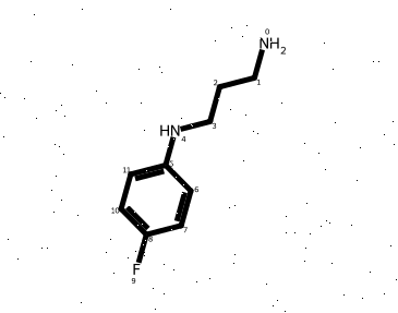 NCCCNc1ccc(F)cc1